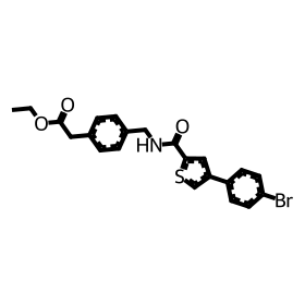 CCOC(=O)Cc1ccc(CNC(=O)c2cc(-c3ccc(Br)cc3)cs2)cc1